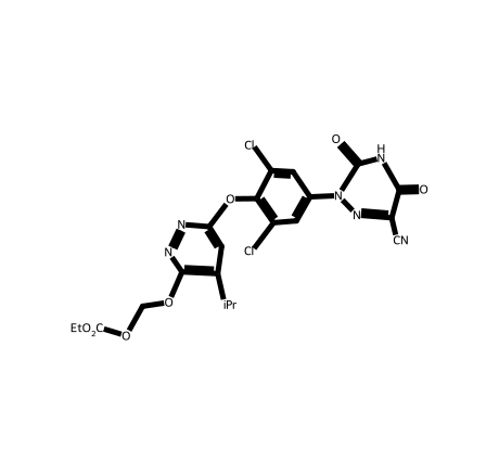 CCOC(=O)OCOc1nnc(Oc2c(Cl)cc(-n3nc(C#N)c(=O)[nH]c3=O)cc2Cl)cc1C(C)C